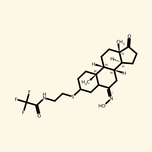 C[C@]12CCC(SCCNC(=O)C(F)(F)F)CC1/C(=N\O)C[C@@H]1[C@H]2CC[C@]2(C)C(=O)CC[C@@H]12